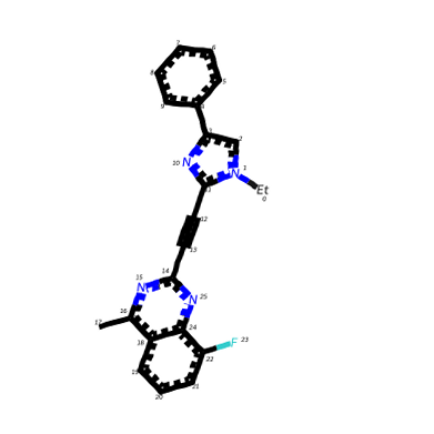 CCn1cc(-c2ccccc2)nc1C#Cc1nc(C)c2cccc(F)c2n1